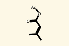 CC(=O)OC(=O)C=C(C)C